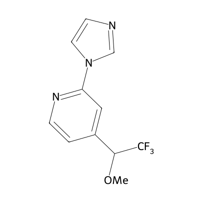 COC(c1ccnc(-n2ccnc2)c1)C(F)(F)F